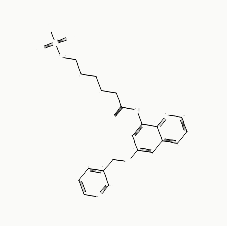 NS(=O)(=O)NCCCCCC(=O)Nc1cc(OCc2cccnc2)cc2cccnc12